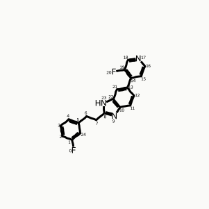 Fc1cccc(CCc2nc3ccc(-c4ccncc4F)cc3[nH]2)c1